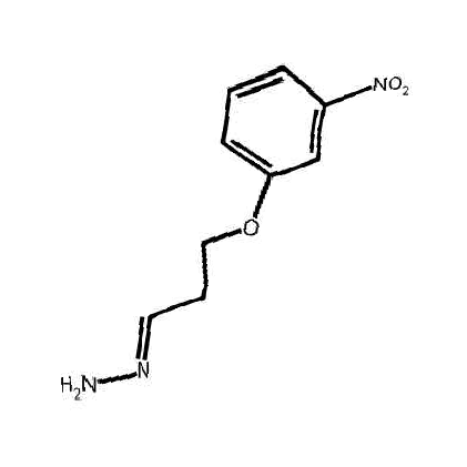 NN=CCCOc1cccc([N+](=O)[O-])c1